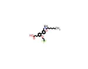 CCCCCCCC(=O)N(C)Cc1cccc(-c2ccc(CCC(=O)O)cc2OCCC(F)(F)F)c1